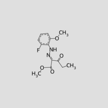 CCC(=O)/C(=N\Nc1c(F)cccc1OC)C(=O)OC